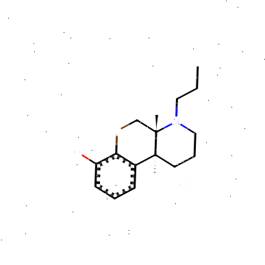 CCCN1CCC[C@H]2c3cccc(O)c3SC[C@@H]21.Cl